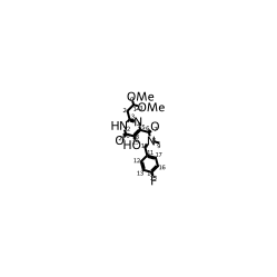 COC(Cc1nc(C(=O)N(C)Cc2ccc(F)cc2)c(O)c(=O)[nH]1)OC